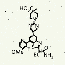 CCN(C(N)=O)c1nc2cc(-c3cnc(N4CCC(C)(C(=O)O)CC4)nc3)cc(-c3nccc(OC)c3F)c2s1